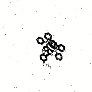 Cc1ccc2c(c1)c1sc([Si](c3ccccc3)(c3ccccc3)c3ccccc3)c3c([Si](c4ccccc4)(c4ccccc4)c4ccccc4)cn2c31